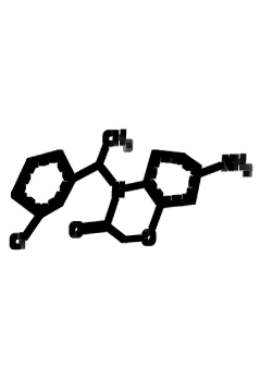 CC(c1cccc(Cl)c1)N1C(=O)COc2cc(N)ccc21